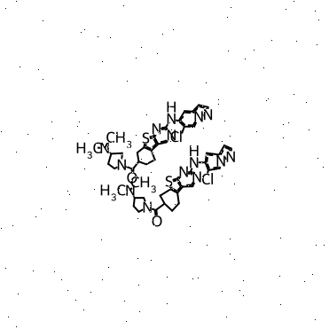 CN(C)[C@@H]1CCN(C(=O)C2CCc3c(sc4nc(Nc5cc6ccnn6cc5Cl)ncc34)C2)C1.CN(C)[C@H]1CCN(C(=O)C2CCc3c(sc4nc(Nc5cc6ccnn6cc5Cl)ncc34)C2)C1